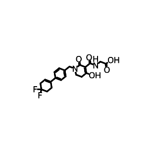 O=C(O)CNC(=O)C1=C(O)CCN(Cc2ccc(C3=CCC(F)(F)CC3)cc2)C1=O